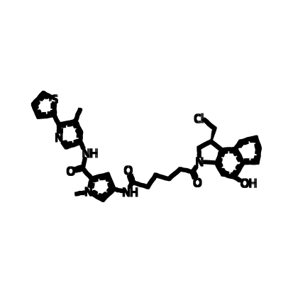 Cc1cc(NC(=O)c2cc(NC(=O)CCCCC(=O)N3C[C@@H](CCl)c4c3cc(O)c3ccccc43)cn2C)cnc1-c1cccs1